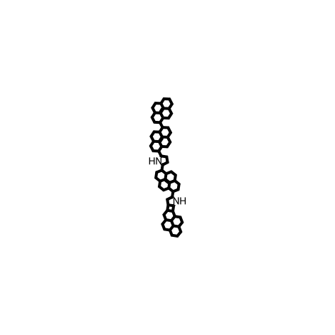 C1CC2CCC3CCC(C4CCC5CCC6C7=C5C4CCC7CCC6C4CCC(C5CCC6CCC7C8=C6C5CCC8CCC7C5CC6C7CC8CCC9CCCC%10CCC(C7C6N5)C8C9%10)N4)C4CCC(C1)C2=C34